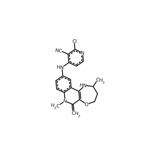 C=C1C2=C(NC(C)CCO2)c2cc(Nc3ccnc(Cl)c3C#N)ccc2N1C